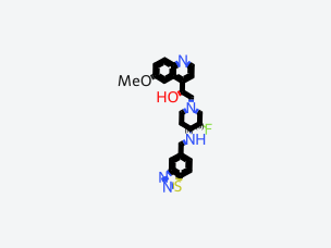 COc1ccc2nccc(C(O)CN3CC[C@@H](NCc4ccc5snnc5c4)[C@@H](F)C3)c2c1